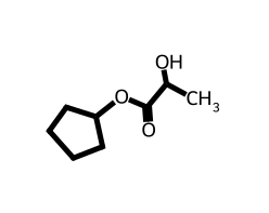 CC(O)C(=O)OC1CCCC1